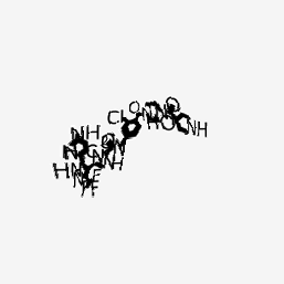 Cn1c(-c2c(C(F)(F)F)n[nH]c2-c2ccc(N)cn2)cnc1C(=O)Nc1ccc(C(=O)N2CCN(C(=O)C3(O)CCNCC3)CC2)c(Cl)c1